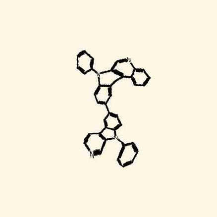 c1ccc(-n2c3ccc(-c4ccc5c(c4)c4c6ccccc6ncc4n5-c4ccccc4)cc3c3ccncc32)cc1